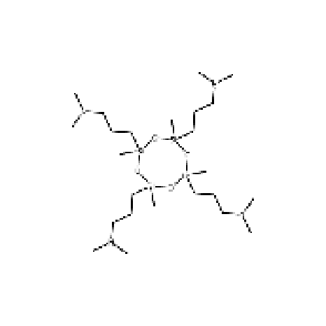 CN(C)CCC[Si]1(C)O[Si](C)(CCCN(C)C)O[Si](C)(CCCN(C)C)O[Si](C)(CCCN(C)C)O1